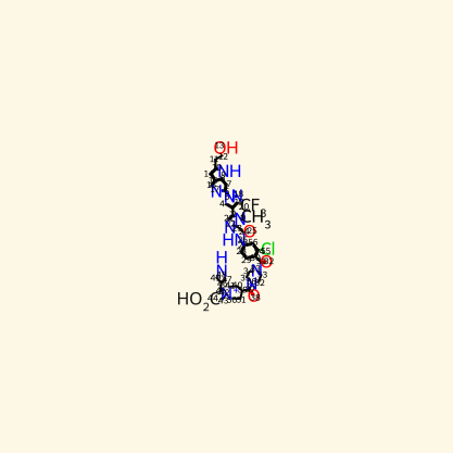 Cn1c(-c2cn(-c3cc4[nH]c(CCO)cc4cn3)nc2C(F)(F)F)cnc1C(=O)Nc1ccc(C(=O)N2CCN(C(=O)C3CC[N+](CC(=O)O)(CC4CNC4)CC3)CC2)c(Cl)c1